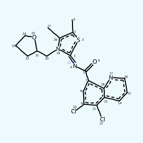 Cc1s/c(=N\C(=O)c2cc(Cl)c(Cl)c3cccnc23)n(CC2CCCO2)c1C